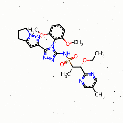 CCO[C@H](c1ncc(C)cn1)[C@H](C)S(=O)(=O)Nc1nnc(-c2cc3n(n2)CCC3)n1-c1c(OC)cccc1OC